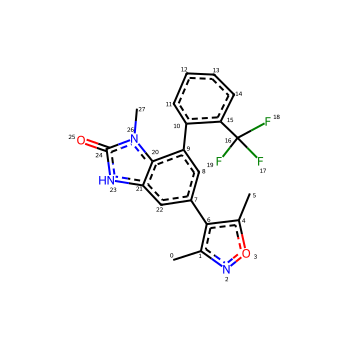 Cc1noc(C)c1-c1cc(-c2ccccc2C(F)(F)F)c2c(c1)[nH]c(=O)n2C